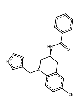 N#Cc1ccc2c(c1)C[C@H](NC(=O)c1ccccc1)CN2Cc1cncs1